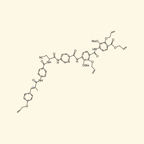 C=CCOC(=O)c1ccc(NC(=O)c2ccc(NC(=O)c3ccc(NC(=O)C(CC#N)NC(=O)c4ccc(NC(=O)/C(C)=C/c5ccc(OCC=C)cc5)cc4)cn3)c(OC)c2OCC=C)c(OC)c1OCC=C